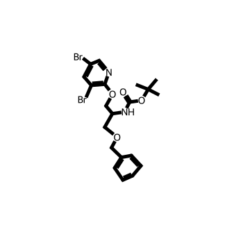 CC(C)(C)OC(=O)NC(COCc1ccccc1)COc1ncc(Br)cc1Br